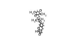 CC1=CC(=O)C(C)=C(CCC(C)(C)COc2ccc(CC3SC(=O)NC3=O)cc2)C1=O